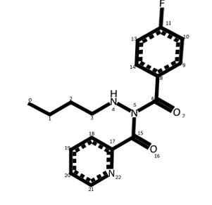 CCCCNN(C(=O)c1ccc(F)cc1)C(=O)c1ccccn1